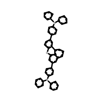 c1ccc(N(c2ccccc2)c2ccc(-c3ccc4c(c3)-c3cccc5cc(-c6ccc(N(c7ccccc7)c7ccccc7)cc6)cc(c35)O4)cc2)cc1